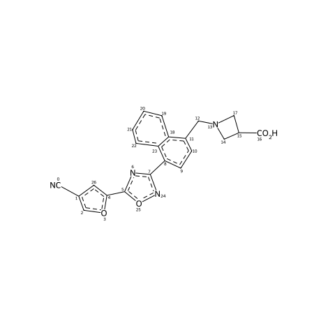 N#Cc1coc(-c2nc(-c3ccc(CN4CC(C(=O)O)C4)c4ccccc34)no2)c1